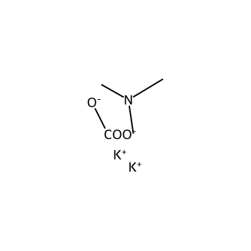 CN(C)C.O=C([O-])[O-].[K+].[K+]